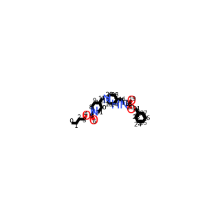 CCCCOC(=O)N1CCC(CN2CCC(CNC(=O)OCc3ccccc3)CC2)CC1